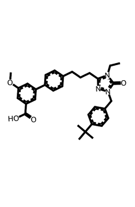 CCn1c(CCCc2ccc(-c3cc(OC)cc(C(=O)O)c3)cc2)nn(Cc2ccc(C(C)(C)C)cc2)c1=O